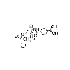 CCC(C)(CCOC(C)(CC)CC1CCC1)NC(=O)c1ccc(B(O)O)cc1